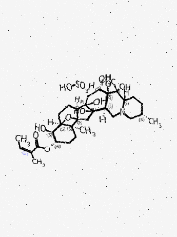 C/C=C(/C)C(=O)O[C@H]1CC[C@@]2(C)[C@@H]3CC[C@H]4[C@]5(O)C[C@H](O)[C@@]6(O)[C@@H](CN7C[C@@H](C)CC[C@H]7[C@@]6(C)O)[C@]5(O)C[C@@]42O[C@]13O.O=S(=O)(O)O